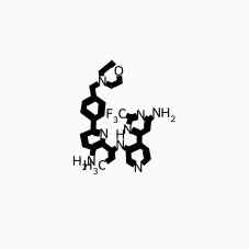 CC=C(Nc1cnccc1-c1cc(N)nc(C(F)(F)F)n1)c1nc(-c2ccc(CN3CCOCC3)cc2)ccc1N